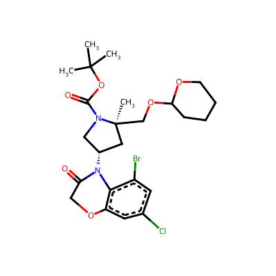 CC(C)(C)OC(=O)N1C[C@@H](N2C(=O)COc3cc(Cl)cc(Br)c32)C[C@]1(C)COC1CCCCO1